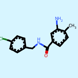 Cc1ccc(C(=O)NCc2ccc(Cl)cc2)cc1N